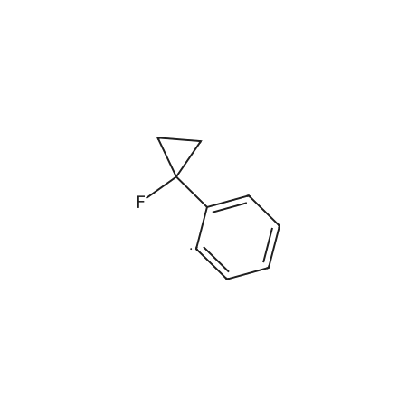 FC1(c2[c]cccc2)CC1